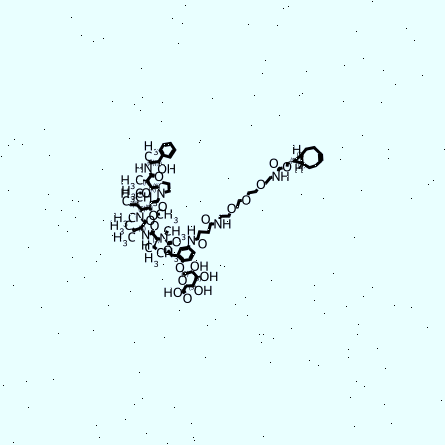 CC[C@H](C)[C@@H]([C@@H](CC(=O)N1CCC[C@H]1[C@H](OC)[C@@H](C)C(=O)N[C@H](C)[C@@H](O)c1ccccc1)OC)N(C)C(=O)[C@@H](NC(=O)[C@H](C(C)C)N(C)C(=O)OCc1cc(NC(=O)CCC(=O)NCCOCCOCCOCCNC(=O)OC[C@@H]2[C@@H]3CCC#CCC[C@@H]32)ccc1O[C@@H]1OC(C(=O)O)[C@@H](O)[C@H](O)C1O)C(C)C